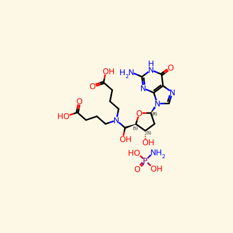 NP(=O)(O)O.Nc1nc2c(ncn2[C@H]2C[C@H](O)[C@@H](C(O)N(CCCC(=O)O)CCCC(=O)O)O2)c(=O)[nH]1